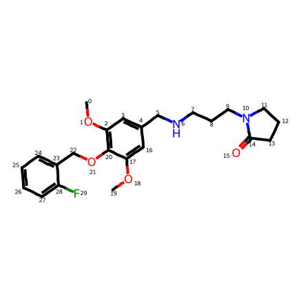 COc1cc(CNCCCN2CCCC2=O)cc(OC)c1OCc1ccccc1F